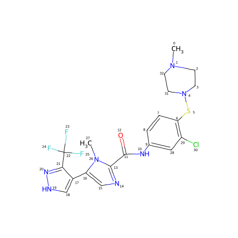 CN1CCN(Sc2ccc(NC(=O)c3ncc(-c4c[nH]nc4C(F)(F)F)n3C)cc2Cl)CC1